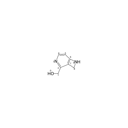 OCc1nccc2c1CN2